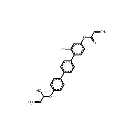 C=CC(=O)Oc1ccc(-c2ccc(-c3ccc(OC(O)C=C)cc3)cc2)c(CC)c1